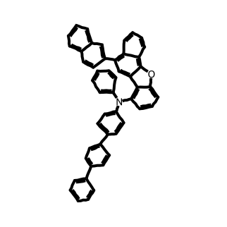 c1ccc(-c2ccc(-c3ccc(N(c4ccccc4)c4cccc5oc6c7ccccc7c(-c7ccc8ccccc8c7)cc6c45)cc3)cc2)cc1